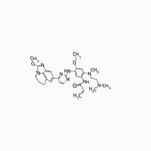 C=CC(=O)Nc1cc(Nc2nccc(-c3cc4c5c(c3)nc(OC)n5CCC4)n2)c(OCC)cc1N(C)CCN(C)C